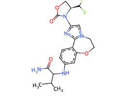 CC(C)C(Nc1ccc2c(c1)OCCn1cc(N3C(=O)OC[C@H]3C(F)F)nc1-2)C(N)=O